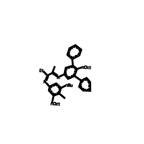 CCCCCCCCc1cc(N=C(CC)C(C)=Nc2cc(-c3ccccc3)c(CCCCCCCC)c(-c3ccccc3)c2)cc(CCCC)c1C